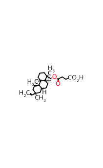 C=C[C@@]1(C)CC=C2[C@@H](CC[C@@H]3[C@](C)(COC(=O)CCC(=O)O)CCC[C@@]23C)C1